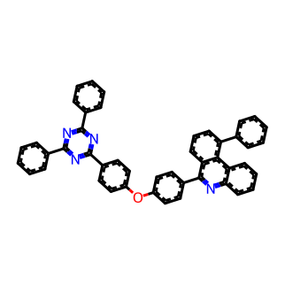 c1ccc(-c2nc(-c3ccccc3)nc(-c3ccc(Oc4ccc(-c5nc6ccccc6c6c(-c7ccccc7)cccc56)cc4)cc3)n2)cc1